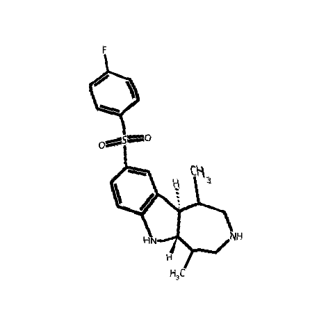 CC1CNCC(C)[C@@H]2c3cc(S(=O)(=O)c4ccc(F)cc4)ccc3N[C@@H]12